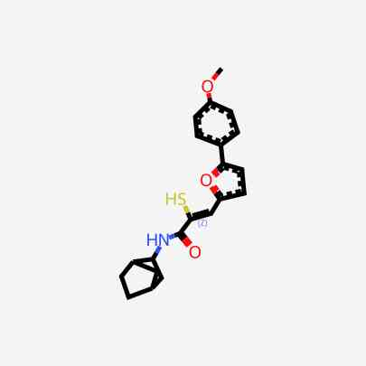 COc1ccc(-c2ccc(/C=C(\S)C(=O)NC3CC4CCC3C4)o2)cc1